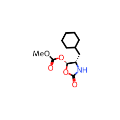 COC(=O)O[C@H]1OC(=O)N[C@H]1CC1CCCCC1